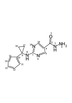 NNC(=O)c1cnc(NC2(c3ccccc3)CC2)nc1